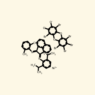 Cc1cccc(C)c1N=C1C(=Nc2c(C(C)C)cccc2C(C)C)c2cccc3cccc1c23.[Ni+2].[O-]c1c([O-])c(Br)c2c(c1Br)Oc1c(Br)c(Br)c(Br)c(Br)c1O2